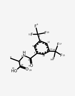 CC(NC(=O)c1cc(C(F)(F)F)cc(C(F)(F)F)c1)C(=O)O